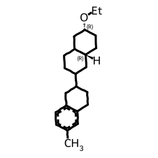 CCO[C@@H]1CC[C@@H]2CC(C3CCc4cc(C)ccc4C3)CCC2C1